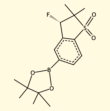 CC1(C)OB(c2ccc3c(c2)[C@H](F)C(C)(C)S3(=O)=O)OC1(C)C